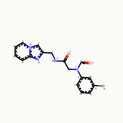 O=CN(CC(=O)NCc1cn2ccccc2n1)c1cccc(Br)c1